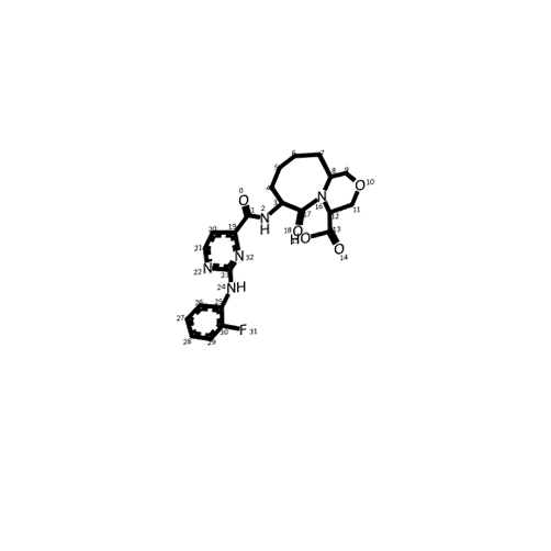 O=C(NC1CCCCC2COCC(C(=O)O)N2C1=O)c1ccnc(Nc2ccccc2F)n1